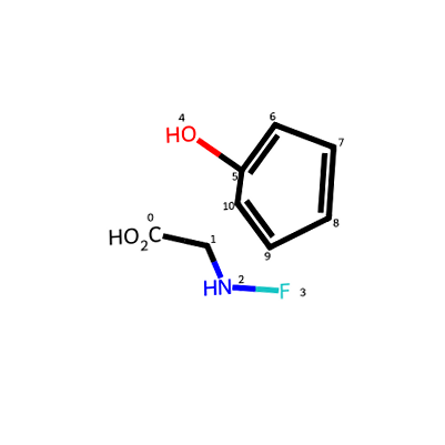 O=C(O)CNF.Oc1ccccc1